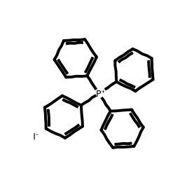 [I-].c1ccc([P+](c2ccccc2)(c2ccccc2)c2ccccc2)cc1